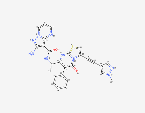 C[C@H](NC(=O)c1c(N)nn2cccnc12)c1nc2scc(C#Cc3cnn(C)c3)n2c(=O)c1-c1ccccc1